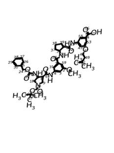 COc1cc(NC(=O)C2CN(C(=O)OC(C)(C)C)CC2NC(=O)OCc2ccccc2)cc(C(=O)NC2CCCC2C(=O)Nc2cc(OCCC(C)C)cc(C(=O)O)c2)c1